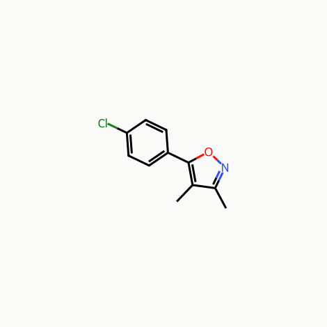 Cc1noc(-c2ccc(Cl)cc2)c1C